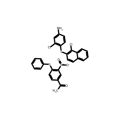 CC(=O)c1ccc(Sc2ccccc2)c([N+](=O)[O-])c1.Nc1ccc(Sc2ccc3ccccc3c2Cl)c(Cl)c1